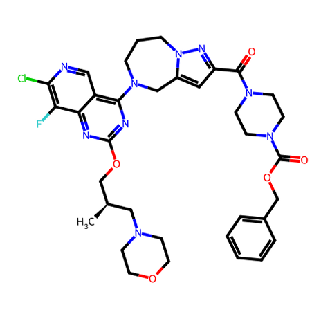 C[C@@H](COc1nc(N2CCCn3nc(C(=O)N4CCN(C(=O)OCc5ccccc5)CC4)cc3C2)c2cnc(Cl)c(F)c2n1)CN1CCOCC1